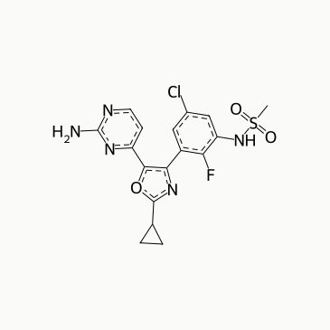 CS(=O)(=O)Nc1cc(Cl)cc(-c2nc(C3CC3)oc2-c2ccnc(N)n2)c1F